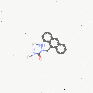 CC(C)NC(=O)N(Cc1c2ccccc2cc2ccccc12)NC(C)C